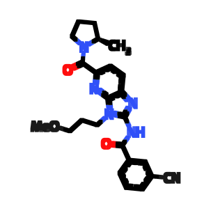 COCCCn1c(NC(=O)c2cccc(C#N)c2)nc2ccc(C(=O)N3CCC[C@H]3C)nc21